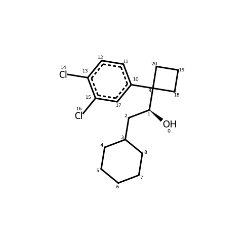 O[C@@H](CC1CCCCC1)C1(c2ccc(Cl)c(Cl)c2)CCC1